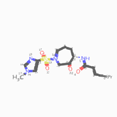 CC(C)C[CH]C(=O)N[C@H]1CCCN(S(=O)(=O)c2cn(C)cn2)CC1=O